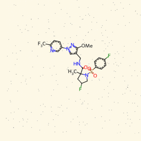 COc1nn(-c2ccc(C(F)(F)F)nc2)cc1CNC(=O)C1(C)CC(F)CN1S(=O)(=O)c1ccc(F)cc1